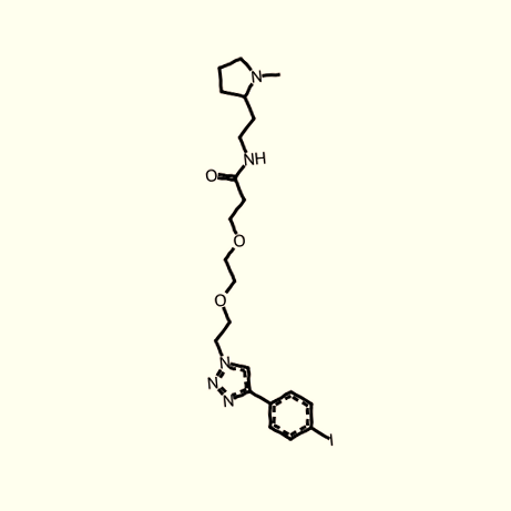 CN1CCCC1CCNC(=O)CCOCCOCCn1cc(-c2ccc(I)cc2)nn1